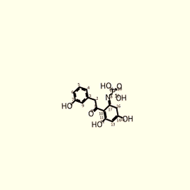 O=C(Cc1cccc(O)c1)C1=C(O)C=C(O)CC1=NP(=O)(O)O